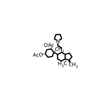 C=C1CCC2[C@H](CCN3CCCC3)C([C@@]3(C)CC[C@H](OC(C)=O)C[C@@H]3OC(C)=O)CC[C@]12C